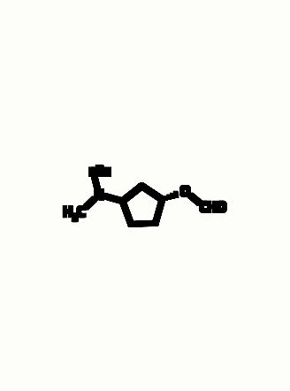 CCCCN(C)C1CC[C@@H](OC=O)C1